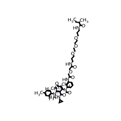 CCC(C)C(=O)NCCCOCCOCCOCCCNC(=O)COCC(=O)Nc1cccc(N(C=O)C(=C(\C)C=O)/C(C(=O)N(C)C2CC2)=C(/Nc2ccc(C)cc2F)N(C)C)c1